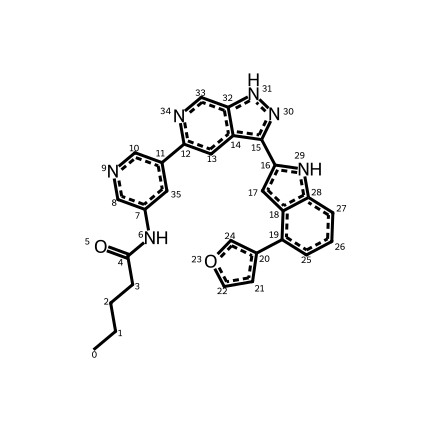 CCCCC(=O)Nc1cncc(-c2cc3c(-c4cc5c(-c6ccoc6)cccc5[nH]4)n[nH]c3cn2)c1